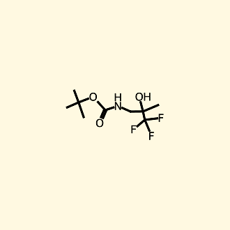 CC(C)(C)OC(=O)NCC(C)(O)C(F)(F)F